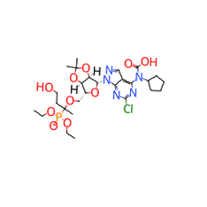 CCOP(=O)(OCC)C(C)(CCO)OC[C@H]1O[C@@H](n2ncc3c(N(C(=O)O)C4CCCC4)nc(Cl)nc32)[C@@H]2OC(C)(C)O[C@@H]21